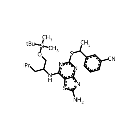 CC(C)CC(CO[Si](C)(C)C(C)(C)C)Nc1nc(SC(C)c2cccc(C#N)c2)nc2nc(N)sc12